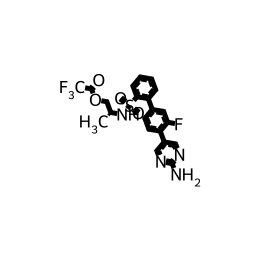 C[C@@H](COC(=O)C(F)(F)F)NS(=O)(=O)c1ccccc1-c1ccc(-c2cnc(N)nc2)c(F)c1